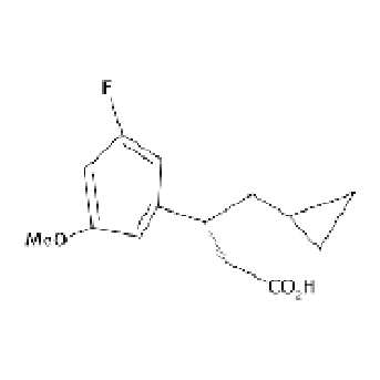 COc1cc(F)cc([C@@H](CC(=O)O)CC2CC2)c1